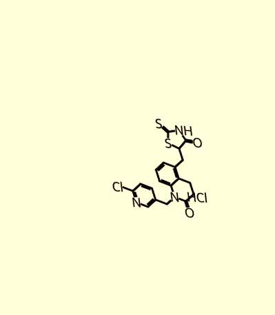 Cl.O=C1NC(=S)SC1Cc1cccc2c1CCC(=O)N2Cc1ccc(Cl)nc1